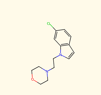 Clc1ccc2ccn(CCN3CCOCC3)c2c1